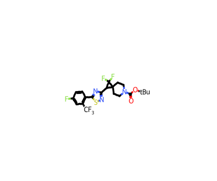 CC(C)(C)OC(=O)N1CCC2(CC1)C(c1nsc(-c3ccc(F)cc3C(F)(F)F)n1)C2(F)F